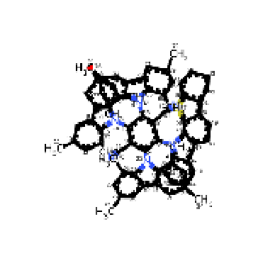 Cc1cc(C)c2c(c1)c1cc(C)cc(C)c1n2-c1c(C#N)c(-n2c3c(C)cc(C)cc3c3cc(C)cc(C)c32)c(-n2c3ccccc3c3ccc4c5ccccc5sc4c32)c(C#N)c1-n1c2c(C)cc(C)cc2c2cc(C)cc(C)c21